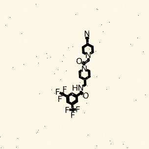 N#CC1CCN(CC(=O)N2CCC(CNC(=O)c3cc(C(F)(F)F)cc(C(F)(F)F)c3)CC2)CC1